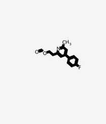 Cc1cc(-c2ccc(F)cc2)cc(CCOC=O)n1